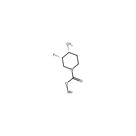 C[C@@H]1CCN(C(=O)OC(C)(C)C)C[C@@H]1F